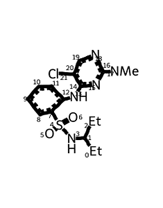 CCC(CC)NS(=O)(=O)c1ccccc1Nc1nc(NC)ncc1Cl